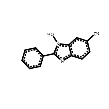 N#Cc1ccc2nc(-c3ccccc3)n(O)c2c1